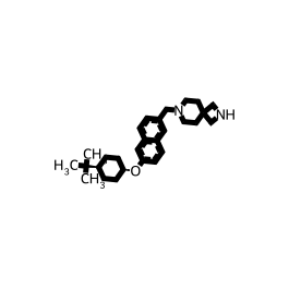 CC(C)(C)[C@H]1CC[C@H](Oc2ccc3cc(CN4CCC5(CC4)CNC5)ccc3c2)CC1